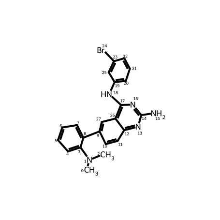 CN(C)c1ccccc1-c1ccc2nc(N)nc(Nc3cccc(Br)c3)c2c1